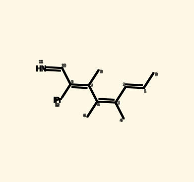 C/C=C/C(C)=C(C)\C(C)=C(\C=N)C(C)C